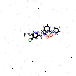 O=C(C1CCCc2nn(Cc3cnc(C(F)(F)F)c(Cl)c3)c(=O)n21)N1CCCC1